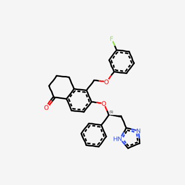 O=C1CCCc2c1ccc(O[C@@H](Cc1ncc[nH]1)c1ccccc1)c2COc1cccc(F)c1